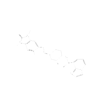 C[C@@H](N[C@H]1CC[C@H](NCc2cc3c(cc2F)n(C)c(=O)n3C)C[C@@H]1F)c1cccn2ccnc12